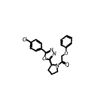 O=C(COc1ccccc1)N1CCCC1c1nnc(-c2ccc(Cl)cc2)o1